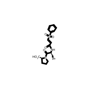 CC(C)C[C@H](NC(=O)/C=C/S(=O)(=O)c1ccccc1)C(=O)N1CCC[C@H]1C(=O)O